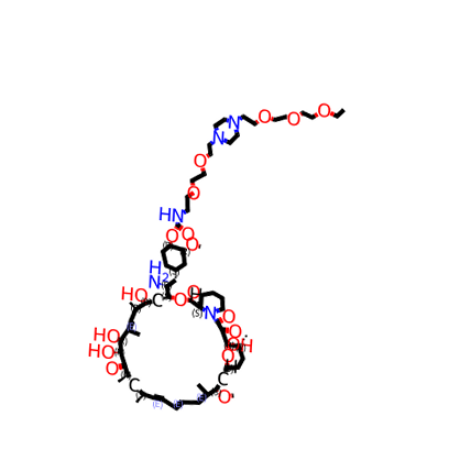 CCOCCOCCOCCN1CCN(CCOCCOCCNC(=O)O[C@@H]2CC[C@@H](C[C@@H](N)[C@@H]3C[C@@H](O)[C@H](C)/C=C(\C)[C@@H](O)[C@@H](O)C(=O)[C@H](C)C[C@H](C)/C=C/C=C/C=C(\C)[C@@H](OC)C[C@@H]4CC[C@@H](C)[C@@](O)(O4)C(=O)C(=O)N4CCCC[C@H]4C(=O)O3)C[C@H]2OC)CC1